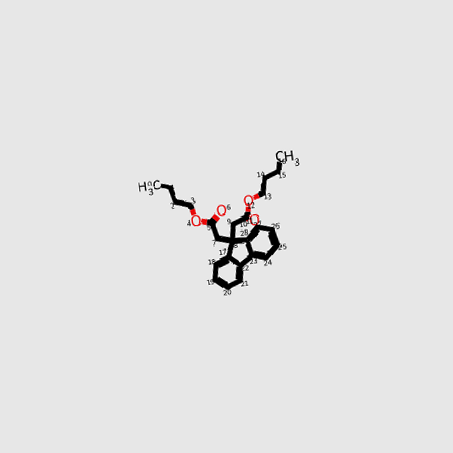 CCCCOC(=O)CC1(CC(=O)OCCCC)c2ccccc2-c2ccccc21